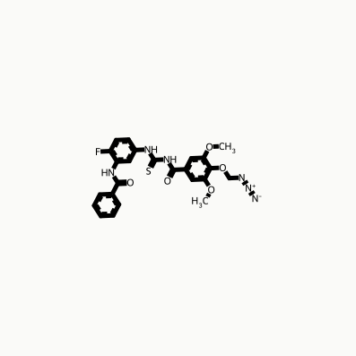 COc1cc(C(=O)NC(=S)Nc2ccc(F)c(NC(=O)c3ccccc3)c2)cc(OC)c1OCN=[N+]=[N-]